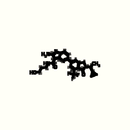 CC(C1CC1)N1Cc2cc(-c3ccn4nc(N)c(C(=O)NCCCO)c4n3)cc(C(F)(F)F)c2C1=O